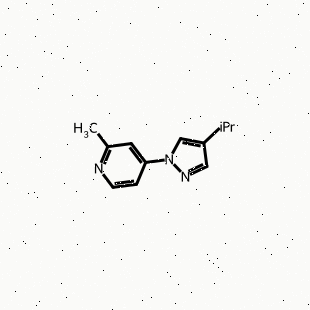 Cc1cc(-n2cc(C(C)C)cn2)ccn1